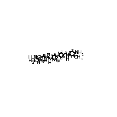 CC1C[C@@H](NCc2ccc(-n3ccc(NC(=O)N4CCN(C(=O)C(C)(C)N)CC4)nc3=O)cc2)CCC1N